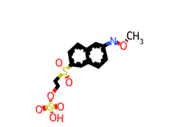 CO[N]c1ccc2cc(S(=O)(=O)CCOS(=O)(=O)O)ccc2c1